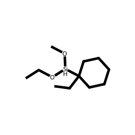 CCO[SiH](OC)C1(CC)CCCCC1